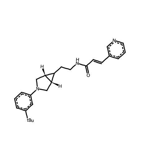 CC(C)(C)c1cccc(N2C[C@@H]3C(CCNC(=O)/C=C/c4cccnc4)[C@@H]3C2)c1